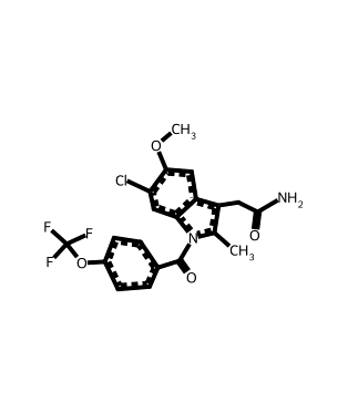 COc1cc2c(CC(N)=O)c(C)n(C(=O)c3ccc(OC(F)(F)F)cc3)c2cc1Cl